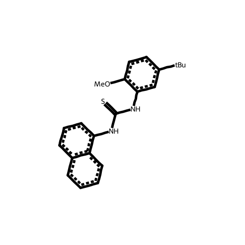 COc1ccc(C(C)(C)C)cc1NC(=S)Nc1cccc2ccccc12